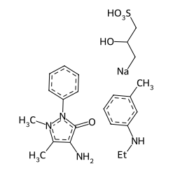 CCNc1cccc(C)c1.Cc1c(N)c(=O)n(-c2ccccc2)n1C.O=S(=O)(O)CC(O)[CH2][Na]